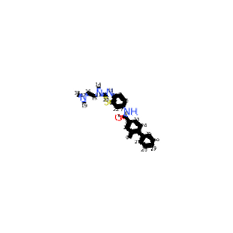 Cc1cc(C(=O)Nc2ccc3nc(N(C)CCN(C)C)sc3c2)ccc1-c1ccccc1